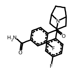 NC(=O)c1ccc(C(=O)N2C3CCC2CC(c2ccc(F)cc2)C3)c(F)c1